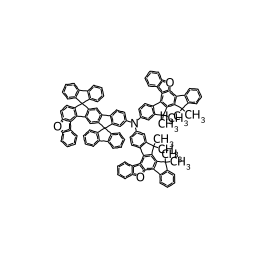 CC1(C)c2ccccc2-c2c1c1c(c3c2oc2ccccc23)-c2ccc(N(c3ccc4c(c3)C(C)(C)c3c5c(c6oc7ccccc7c6c3-4)-c3ccccc3C5(C)C)c3ccc4c(c3)C3(c5ccccc5-c5ccccc53)c3cc5c(cc3-4)C3(c4ccccc4-c4ccccc43)c3ccc4oc6ccccc6c4c3-5)cc2C1(C)C